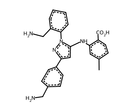 Cc1ccc(C(=O)O)c(Nc2cc(-c3ccc(CN)cc3)nn2-c2ccccc2CN)c1